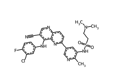 Cc1ncc(-c2ccc3ncc(C#N)c(Nc4ccc(F)c(Cl)c4)c3n2)cc1NS(=O)(=O)CCN(C)C